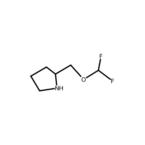 FC(F)OCC1CCCN1